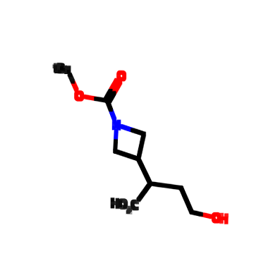 CC(C)(C)OC(=O)N1CC(C(CCO)C(=O)O)C1